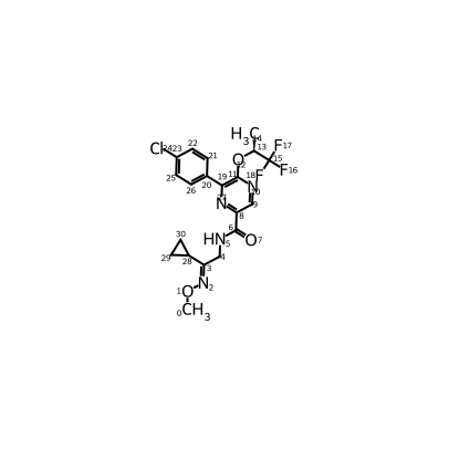 CO/N=C(/CNC(=O)c1cnc(O[C@@H](C)C(F)(F)F)c(-c2ccc(Cl)cc2)n1)C1CC1